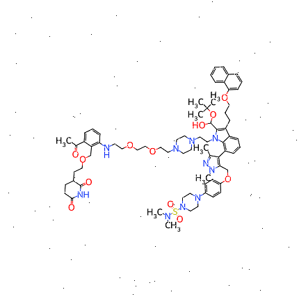 CC(=O)c1cccc(NCCOCCOCCN2CCN(CCn3c(C(O)OC(C)(C)C)c(CCCOc4cccc5ccccc45)c4cccc(-c5c(C)nn(C)c5COc5ccc(N6CCN(S(=O)(=O)N(C)C)CC6)cc5)c43)CC2)c1COCCC1CCC(=O)NC1=O